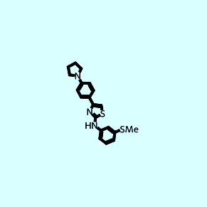 CSc1cccc(Nc2nc(-c3ccc(N4CCCC4)cc3)cs2)c1